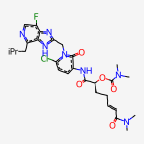 CC(C)Cc1ncc(F)c2nc(Cn3c(Cl)ccc(NC(=O)[C@H](CC/C=C/C(=O)N(C)C)OC(=O)N(C)C)c3=O)[nH]c12